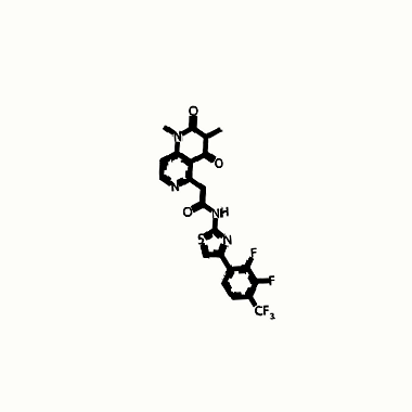 CC1C(=O)c2c(ccnc2CC(=O)Nc2nc(-c3ccc(C(F)(F)F)c(F)c3F)cs2)N(C)C1=O